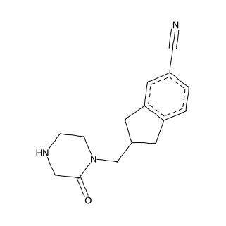 N#Cc1ccc2c(c1)CC(CN1CCNCC1=O)C2